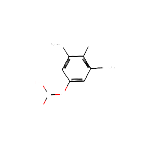 COc1cc(OB(O)O)cc(OC)c1C=O